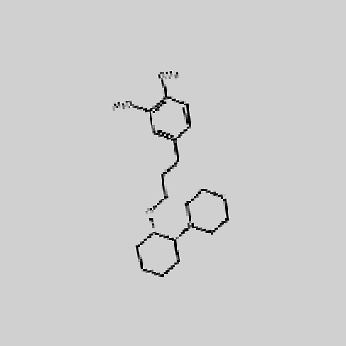 COc1ccc(CCCO[C@H]2CCCC[C@@H]2N2CCOCC2)cc1OC